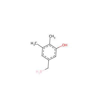 BCc1cc(C)c(C)c(O)c1